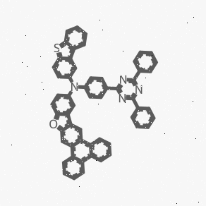 c1ccc(-c2nc(-c3ccccc3)nc(-c3ccc(N(c4ccc5oc6cc7c8ccccc8c8ccccc8c7cc6c5c4)c4ccc5sc6ccccc6c5c4)cc3)n2)cc1